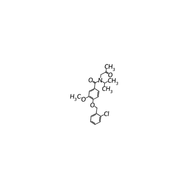 COc1cc(C(=O)N(CC(C)=O)C(C)C)ccc1OCc1ccccc1Cl